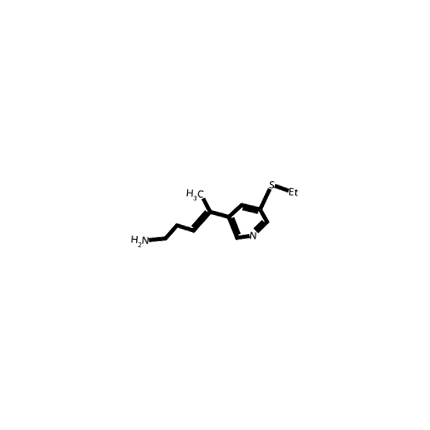 CCSc1cncc(C(C)=CCCN)c1